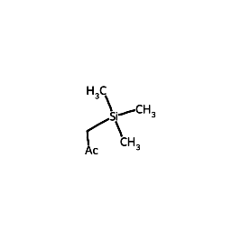 CC(=O)C[Si](C)(C)C